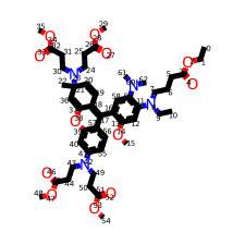 CCOC(=O)CCCN(CC)c1cc(OC)c(C2=C3C=CC(C)(N(CCC(=O)OC)CCC(=O)OC)C=C3Oc3cc(N(CCC(=O)OC)CCC(=O)OC)ccc32)cc1N(C)C